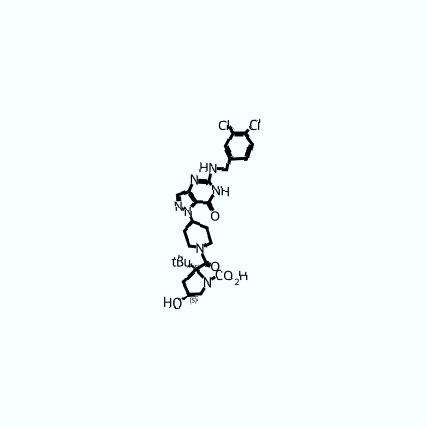 CC(C)(C)[C@]1(C(=O)N2CCC(n3ncc4nc(NCc5ccc(Cl)c(Cl)c5)[nH]c(=O)c43)CC2)C[C@H](O)CN1C(=O)O